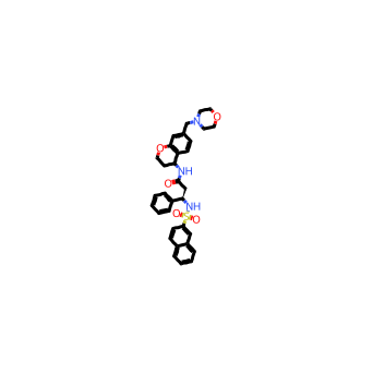 O=C(C[C@@H](NS(=O)(=O)c1ccc2ccccc2c1)c1ccccc1)NC1CCOc2cc(CN3CCOCC3)ccc21